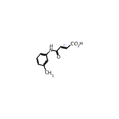 Cc1cccc(NC(=O)/C=C/C(=O)O)c1